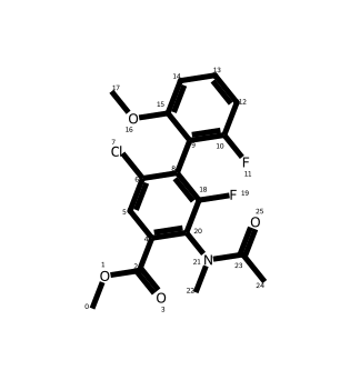 COC(=O)c1cc(Cl)c(-c2c(F)cccc2OC)c(F)c1N(C)C(C)=O